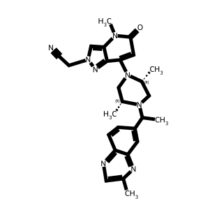 Cc1cnc2ccc(C(C)N3C[C@@H](C)N(c4cc(=O)n(C)c5cn(CC#N)nc45)C[C@H]3C)cc2n1